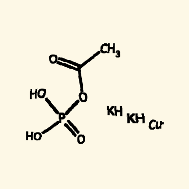 CC(=O)OP(=O)(O)O.[Cu].[KH].[KH]